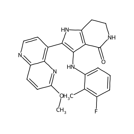 COc1ccc2nccc(-c3[nH]c4c(c3Nc3cccc(F)c3C)C(=O)NCC4)c2n1